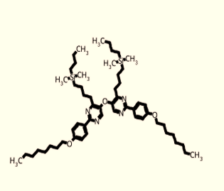 CCCCCCCCOc1ccc(-c2ncc(Oc3cnc(-c4ccc(OCCCCCCCC)cc4)nc3CCCC[Si](C)(C)CCCC)c(CCCC[Si](C)(C)CCCC)n2)cc1